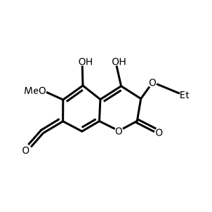 CCOC1C(=O)Oc2cc(=C=O)c(OC)c(O)c2=C1O